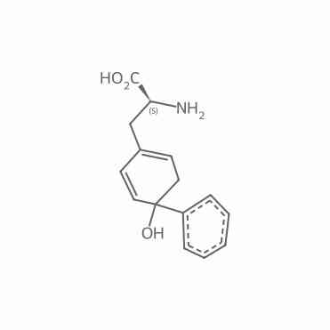 N[C@@H](CC1=CCC(O)(c2ccccc2)C=C1)C(=O)O